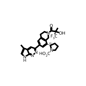 Cc1c[nH]c2nnc(-c3cc4c(c([C@@H]5CCCN5C(=O)O)c3)CN(C(=O)[C@](C)(O)C(F)(F)F)CC4)cc12